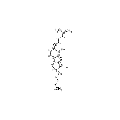 CCCCOc1ccc2c(oc3c(F)c(OCCCC(C)C)ccc32)c1F